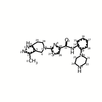 Cc1n[nH]c2c1CN(c1nc(C(=O)Nc3ccccc3N3CCNCC3)cs1)CC2